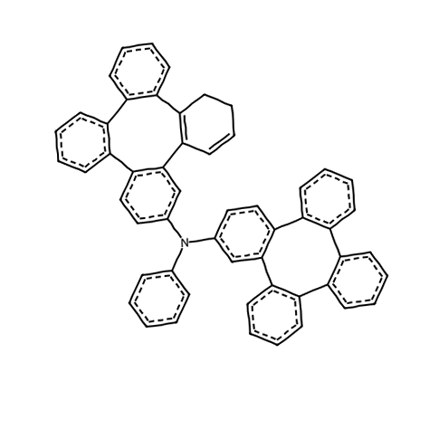 C1=CC2=C(CC1)c1ccccc1-c1ccccc1-c1ccc(N(c3ccccc3)c3ccc4c(c3)-c3ccccc3-c3ccccc3-c3ccccc3-4)cc12